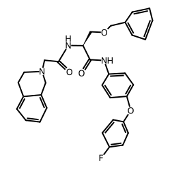 O=C(CN1CCc2ccccc2C1)N[C@@H](COCc1ccccc1)C(=O)Nc1ccc(Oc2ccc(F)cc2)cc1